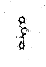 CC(CC(CO)Oc1ccccc1)C(O)Oc1ccccc1